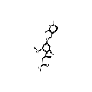 COC(=O)Cc1csc2cc(OCc3ccc(C)nc3C)cc(OC)c12